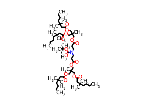 CCCCC(C)(C)CC(=O)OCC(C)(COC(=O)CCN(CCC(=O)OCC(C)(COC(=O)CC(C)(C)CCCC)COC(=O)CC(C)(C)CCCC)C(=O)OC(C)(C)C)COC(=O)CC(C)(C)CCCC